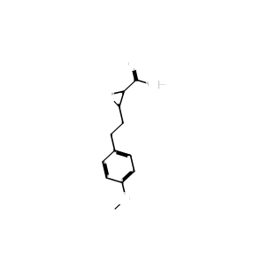 COc1ccc(CCC2OC2C(=O)O)cc1